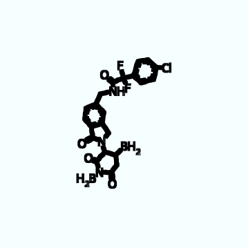 BC1CC(=O)N(B)C(=O)C1N1Cc2cc(CNC(=O)C(F)(F)c3ccc(Cl)cc3)ccc2C1=O